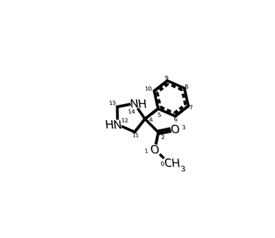 COC(=O)C1(c2ccccc2)CNCN1